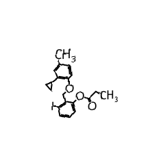 CCC(=O)Oc1cccc(I)c1COc1ccc(C)cc1C1CC1